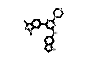 Cc1nn(C)c2cc(-c3cc(Nc4ccc5cc[nH]c5c4)nc(N4CCOCC4)n3)ccc12